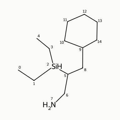 CC[SiH](CC)C(CN)CC1CCCCC1